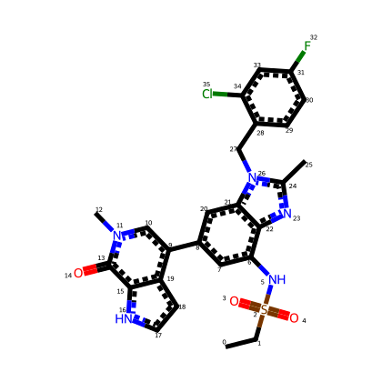 CCS(=O)(=O)Nc1cc(-c2cn(C)c(=O)c3[nH]ccc23)cc2c1nc(C)n2Cc1ccc(F)cc1Cl